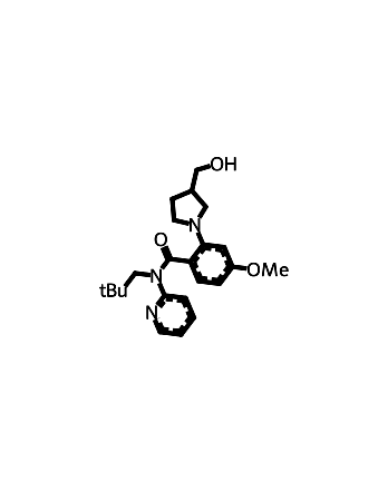 COc1ccc(C(=O)N(CC(C)(C)C)c2ccccn2)c(N2CCC(CO)C2)c1